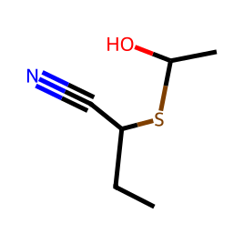 CCC(C#N)SC(C)O